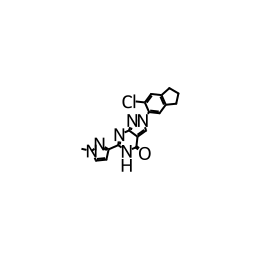 Cn1ccc(-c2nc3nn(-c4cc5c(cc4Cl)CCC5)cc3c(=O)[nH]2)n1